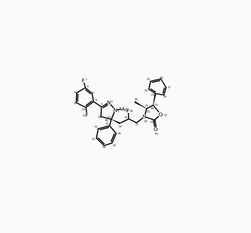 CC(=O)N1N=C(c2cc(F)ccc2F)C[C@@]1(CC(F)CN1C(=O)O[C@H](c2ccccc2)[C@@H]1C)c1ccccc1